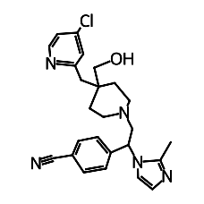 Cc1nccn1C(CN1CCC(CO)(Cc2cc(Cl)ccn2)CC1)c1ccc(C#N)cc1